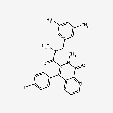 Cc1cc(C)cc(CN(C)C(=O)c2c(-c3ccc(F)cc3)c3cccnc3c(=O)n2C)c1